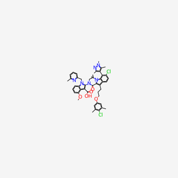 COc1cccc2c1c(C(=O)O)c(N1C[C@@H](C)n3c(c(CCCOc4cc(C)c(Cl)c(C)c4)c4ccc(Cl)c(-c5c(C)nn(C)c5C)c43)C1=O)n2Cc1cccc(C)n1